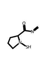 C=NC(=O)C1CCCN1S